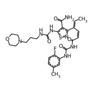 C/C=C(\C=C/C(=O)NC(=O)Nc1cc(C)ccc1F)c1nsc(NC(=O)NCCCN2CCOCC2)c1C(N)=O